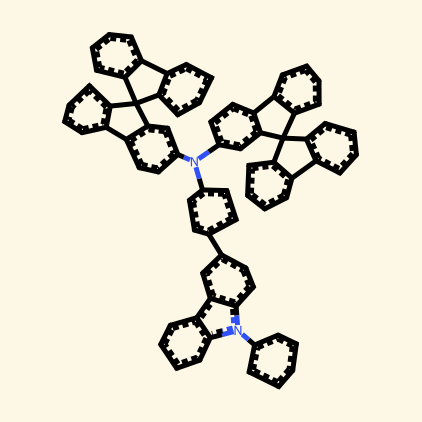 c1ccc(-n2c3ccccc3c3cc(-c4ccc(N(c5ccc6c(c5)C5(c7ccccc7-c7ccccc75)c5ccccc5-6)c5ccc6c(c5)C5(c7ccccc7-c7ccccc75)c5ccccc5-6)cc4)ccc32)cc1